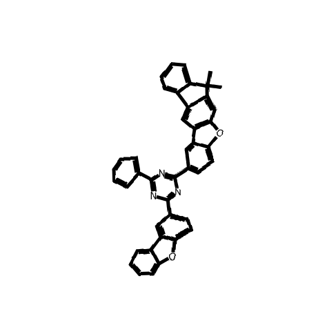 CC1(C)c2ccccc2-c2cc3c(cc21)oc1ccc(-c2nc(-c4ccccc4)nc(-c4ccc5oc6ccccc6c5c4)n2)cc13